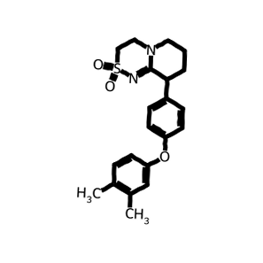 Cc1ccc(Oc2ccc(C3CCCN4CCS(=O)(=O)N=C34)cc2)cc1C